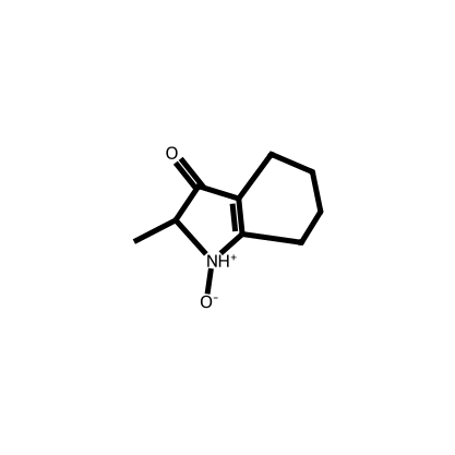 CC1C(=O)C2=C(CCCC2)[NH+]1[O-]